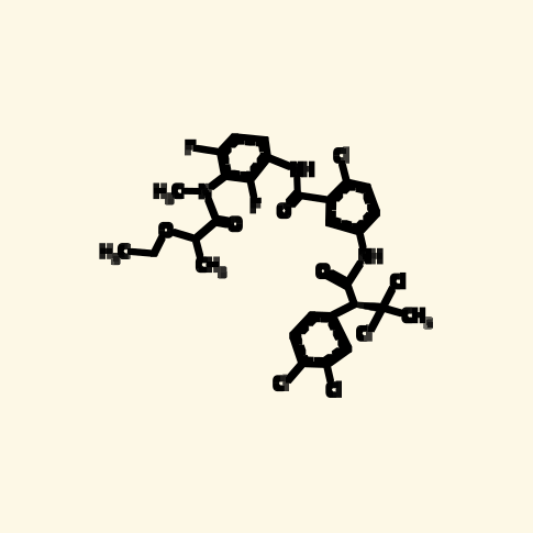 CCOC(C)C(=O)N(C)c1c(F)ccc(NC(=O)c2cc(NC(=O)[C@H](c3ccc(Cl)c(Cl)c3)C(C)(Cl)Cl)ccc2Cl)c1F